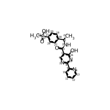 CC(NC(=O)c1cnc(-c2ccccn2)nc1O)c1ccc(P(C)(=O)O)cc1